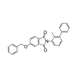 Cc1c(-c2ccccc2)cccc1N1C(=O)c2ccc(OCc3ccccc3)cc2C1=O